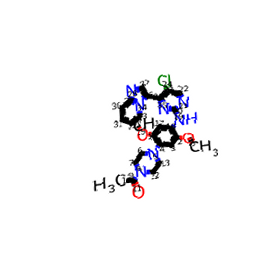 COc1cc(N2CCN(C(C)=O)CC2)c(OC)cc1Nc1ncc(Cl)c(-c2cnc3ccccn23)n1